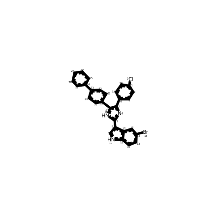 Clc1ccc(-c2nc(-c3c[nH]c4ccc(Br)cc34)[nH]c2-c2ccc(-c3ccccc3)cc2)cc1